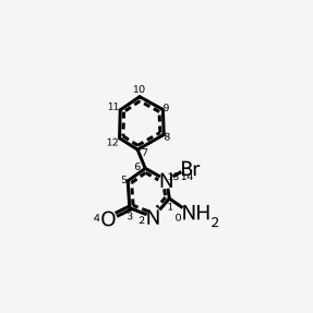 Nc1nc(=O)cc(-c2ccccc2)n1Br